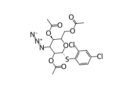 CC(=O)OCC1O[C@H](Sc2ccc(Cl)cc2Cl)C(OC(C)=O)C(N=[N+]=[N-])[C@H]1OC(C)=O